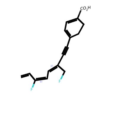 C=C/C(F)=C\C=C(\C#CC1=CC=C(C(=O)O)CC1)CF